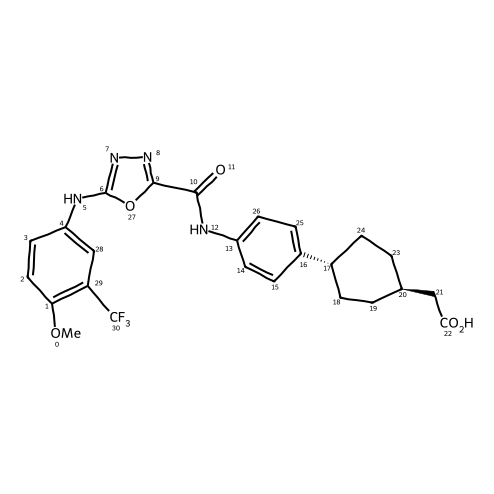 COc1ccc(Nc2nnc(C(=O)Nc3ccc([C@H]4CC[C@H](CC(=O)O)CC4)cc3)o2)cc1C(F)(F)F